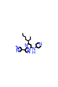 CCCCC(CC)c1cc(Nc2ccncc2)n2ncc(-c3cnn(C)c3)c2n1